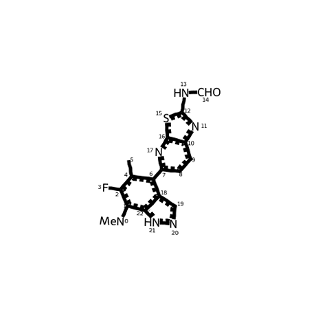 CNc1c(F)c(C)c(-c2ccc3nc(NC=O)sc3n2)c2cn[nH]c12